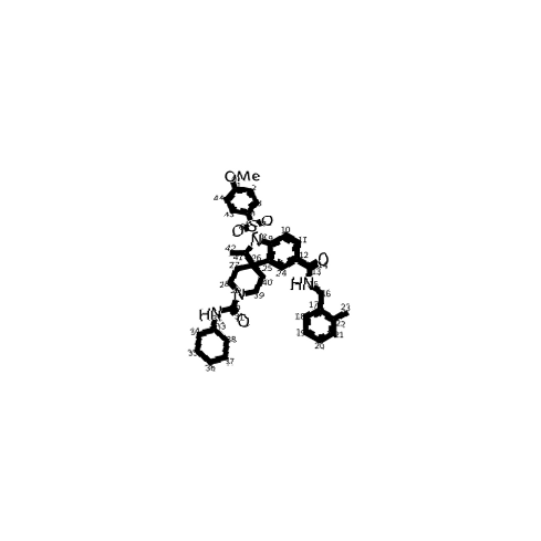 COc1ccc(S(=O)(=O)N2c3ccc(C(=O)NCc4ccccc4C)cc3C3(CCN(C(=O)NC4CCCCC4)CC3)C2C)cc1